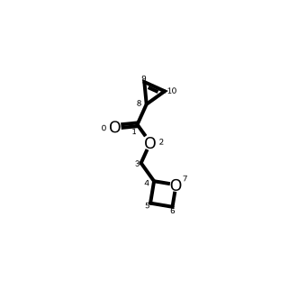 O=C(OCC1CCO1)C1C=C1